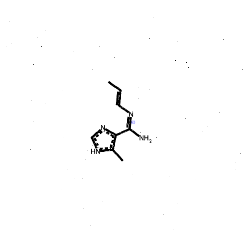 CC=C/N=C(/N)c1nc[nH]c1C